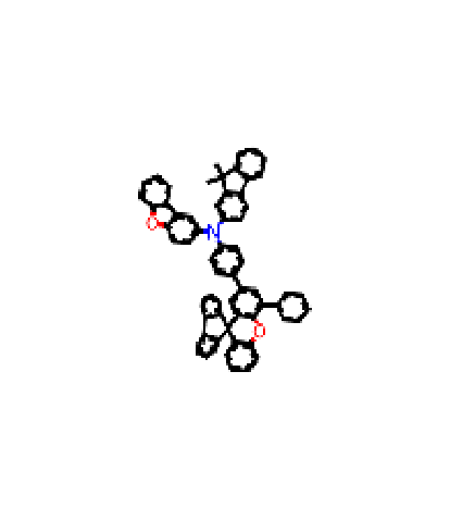 CC1(C)c2ccccc2-c2ccc(N(c3ccc(-c4cc(-c5ccccc5)c5c(c4)C4(c6ccccc6O5)c5ccccc5-c5ccccc54)cc3)c3ccc4oc5ccccc5c4c3)cc21